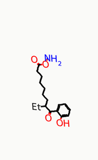 CCC(CCCCCCC(=O)ON)C(=O)c1ccccc1O